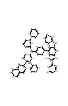 c1ccc(-c2cccc(N(c3ccc(-c4c5sc(-c6ccccc6)nc5cc5oc6ccccc6c45)cc3)c3ccc(-c4ccc5ccccc5c4)c(-c4ccccc4)c3)c2)cc1